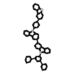 c1ccc(-c2cc(-c3ccccc3)cc(-n3c4ccccc4c4cc(-c5ccc6c(c5)c5ccccc5n6-c5ccc(-c6ccc7oc8ccccc8c7c6)cc5)ccc43)c2)cc1